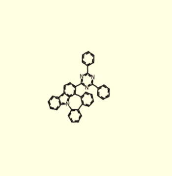 c1ccc(-c2nc(-c3ccccc3)nc(-c3ccc4c5ccccc5n5c4c3-c3ccccc3-c3ccccc3-5)n2)cc1